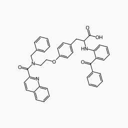 O=C(c1ccccc1)c1ccccc1NC(Cc1ccc(OCCN(Cc2ccccc2)C(=O)c2ccc3ccccc3n2)cc1)C(=O)O